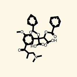 COc1cc(C(=O)C(C)CN(C)C)cc(C(OC(=O)c2ccccc2)(C(=O)O)C(OC(=O)c2ccccc2)C(=O)O)c1